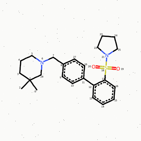 CC1(C)CCCN(Cc2ccc(-c3ccccc3S(=O)(=O)N3CCCC3)cc2)C1